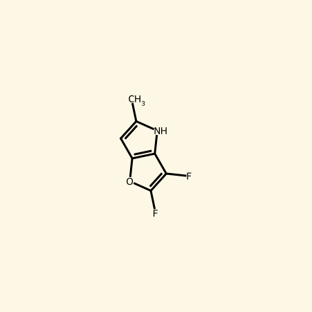 Cc1cc2oc(F)c(F)c2[nH]1